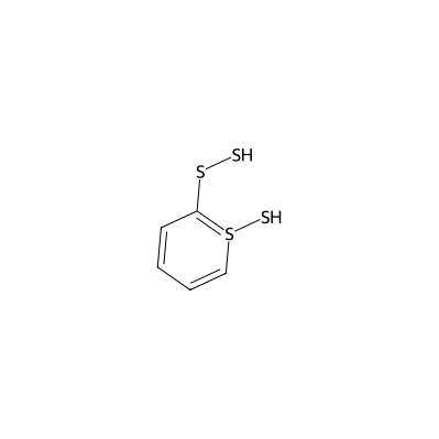 SSC1=S(S)C=CC=C1